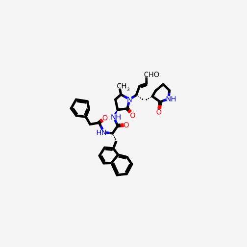 CC1C[C@H](NC(=O)[C@H](Cc2cccc3ccccc23)NC(=O)Cc2ccccc2)C(=O)N1[C@H](/C=C/C=O)C[C@@H]1CCCNC1=O